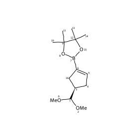 COC(OC)[C@@H]1CC=C(B2OC(C)(C)C(C)(C)O2)C1